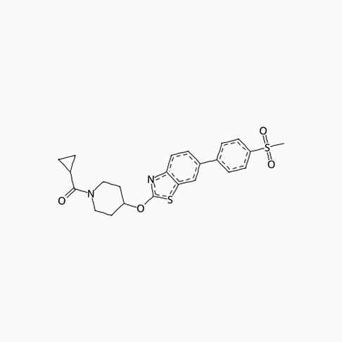 CS(=O)(=O)c1ccc(-c2ccc3nc(OC4CCN(C(=O)C5CC5)CC4)sc3c2)cc1